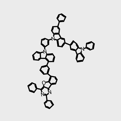 c1ccc(-c2ccc3c(c2)c2cc(-c4ccc5c(c4)c4ccccc4n5-c4ccccc4)ccc2n3-c2cccc(-n3c4ccccc4c4c(-c5cccc(-c6cccc7c6oc6c(-c8ccccc8)nc(-c8ccccc8)nc67)c5)cccc43)c2)cc1